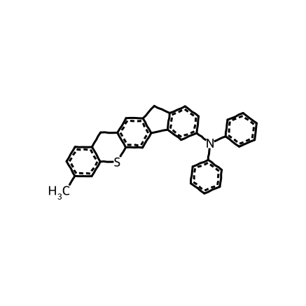 Cc1ccc2c(c1)Sc1cc3c(cc1C2)Cc1ccc(N(c2ccccc2)c2ccccc2)cc1-3